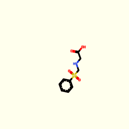 O=C(O)CNCS(=O)(=O)c1ccccc1